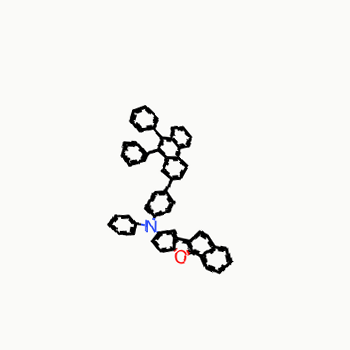 c1ccc(-c2c(-c3ccccc3)c3cc(-c4ccc(N(c5ccccc5)c5ccc6oc7c8ccccc8ccc7c6c5)cc4)ccc3c3ccccc23)cc1